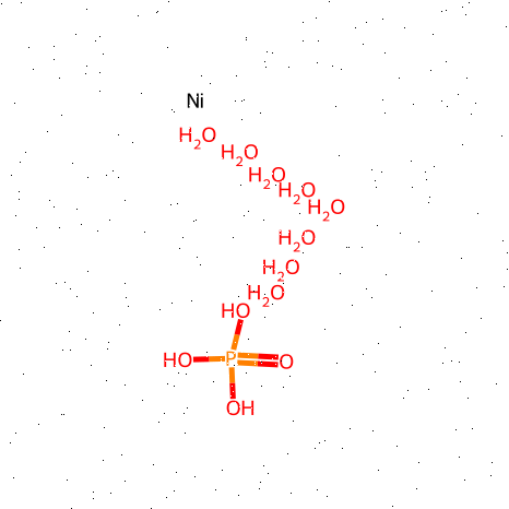 O.O.O.O.O.O.O.O.O=P(O)(O)O.[Ni]